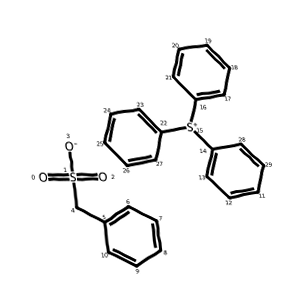 O=S(=O)([O-])Cc1ccccc1.c1ccc([S+](c2ccccc2)c2ccccc2)cc1